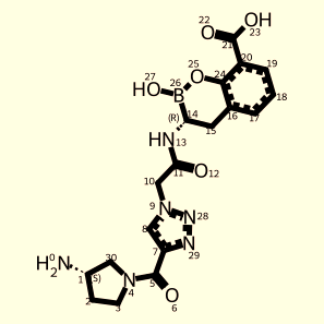 N[C@H]1CCN(C(=O)c2cn(CC(=O)N[C@H]3Cc4cccc(C(=O)O)c4OB3O)nn2)C1